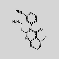 N#Cc1cccc(-n2c(CCN)nc3cccc(F)c3c2=O)c1